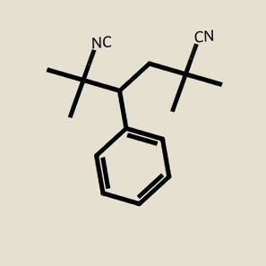 [C-]#[N+]C(C)(C)C(CC(C)(C)C#N)c1ccccc1